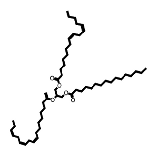 C=C(CCCCCCC/C=C\C/C=C\C/C=C\CC)OC(COC(=O)CCCCCCC/C=C\C/C=C\CCCC)COC(=O)CCCCCCCCCCCCCCC